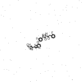 CCn1cnc(-c2cc3nccc(Oc4ccc(N(S)C(=O)NC(=O)Cc5ccccc5F)cc4F)c3s2)c1